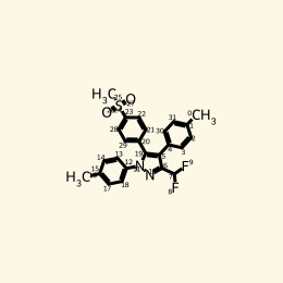 Cc1ccc(-c2c(C(F)F)nn(-c3ccc(C)cc3)c2-c2ccc(S(C)(=O)=O)cc2)cc1